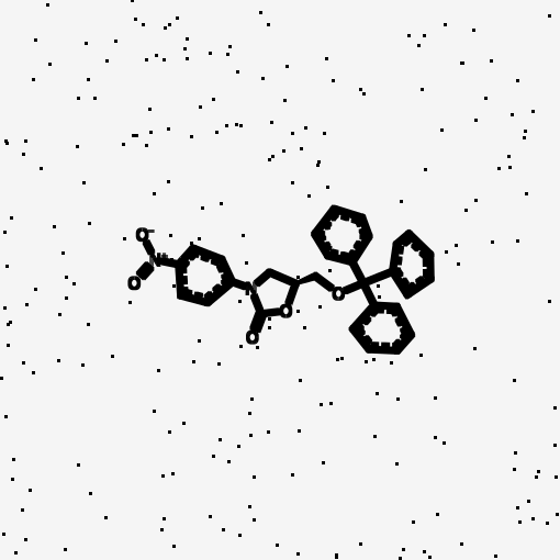 O=C1O[C@H](COC(c2ccccc2)(c2ccccc2)c2ccccc2)CN1c1ccc([N+](=O)[O-])cc1